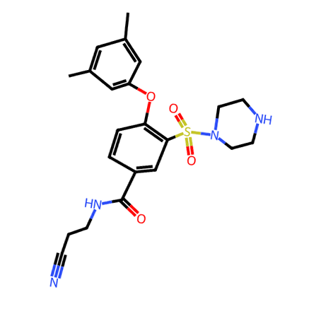 Cc1cc(C)cc(Oc2ccc(C(=O)NCCC#N)cc2S(=O)(=O)N2CCNCC2)c1